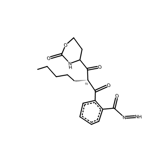 CCCCC[C@@H](C(=O)c1ccccc1C(=O)N=N)C(=O)C1CCOC(=O)N1